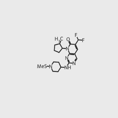 CSN1CCC(Nc2ncc3cc(C(F)F)c(=O)n(C4CCCC4C)c3n2)CC1